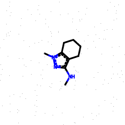 CNc1nn(C)c2c1CCCC2